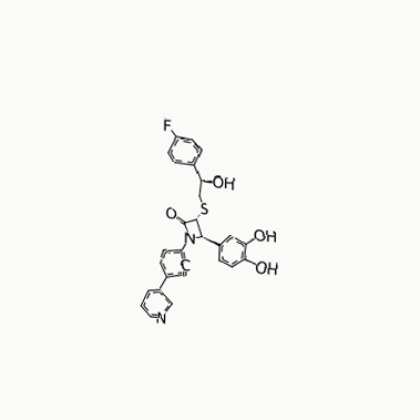 O=C1[C@H](SC[C@H](O)c2ccc(F)cc2)[C@@H](c2ccc(O)c(O)c2)N1c1ccc(-c2cccnc2)cc1